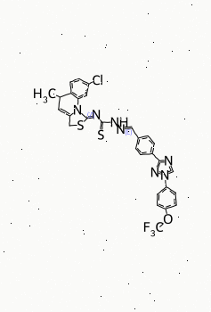 CC1C=C2CS/C(=N\C(=S)N/N=C/c3ccc(-c4ncn(-c5ccc(OC(F)(F)F)cc5)n4)cc3)N2c2cc(Cl)ccc21